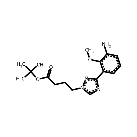 COc1c(N)cccc1-c1ncn(CCCC(=O)OC(C)(C)C)n1